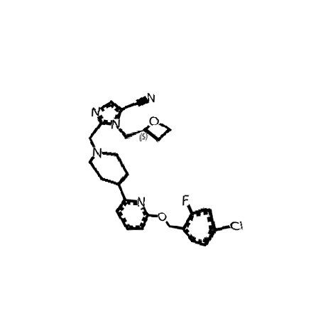 N#Cc1cnc(CN2CCC(c3cccc(OCc4ccc(Cl)cc4F)n3)CC2)n1C[C@@H]1CCO1